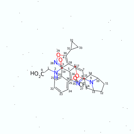 O=C(O)CNC(=O)c1ccc(N2C3CCC2CC(OCc2c(-c4ccccc4OC(F)(F)F)noc2C2CC2)C3)nc1